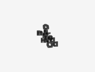 CCc1nc(C(=O)Nc2cccc(Cl)c2Cl)c(C)n1-c1ccccc1